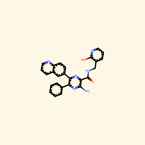 Nc1nc(-c2ccccc2)c(-c2ccc3ncccc3c2)nc1C(=O)NCc1cccnc1O